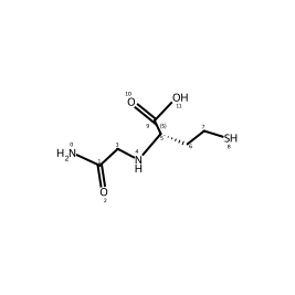 NC(=O)CN[C@@H](CCS)C(=O)O